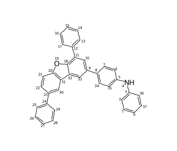 c1ccc(Nc2ccc(-c3cc(-c4ccccc4)c4oc5ccc(-c6ccccc6)cc5c4c3)cc2)cc1